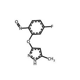 Cc1cc(Oc2cc(F)ccc2N=O)n[nH]1